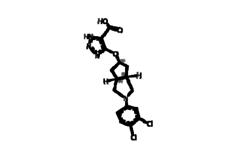 O=C(O)c1[nH]nnc1O[C@H]1C[C@@H]2CN(c3ccc(Cl)c(Cl)c3)C[C@@H]2C1